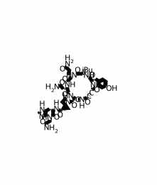 CC[C@H](C)[C@@H]1NC(=O)[C@H](Cc2ccc(O)cc2)NC(=O)CCC(=O)NC[C@@H](C(=O)N2CCC23C[C@@H]3C(=O)N[C@@H](Cc2cnc[nH]2)C(=O)NCC(N)=O)NC(=O)[C@H](CC(N)=O)NC(=O)[C@H](CCC(N)=O)NC1=O